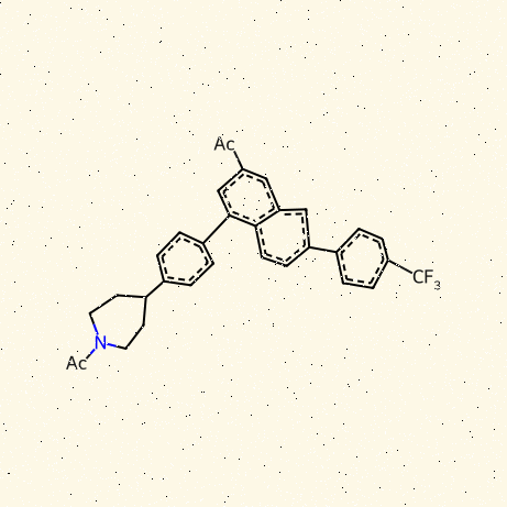 CC(=O)c1cc(-c2ccc(C3CCN(C(C)=O)CC3)cc2)c2ccc(-c3ccc(C(F)(F)F)cc3)cc2c1